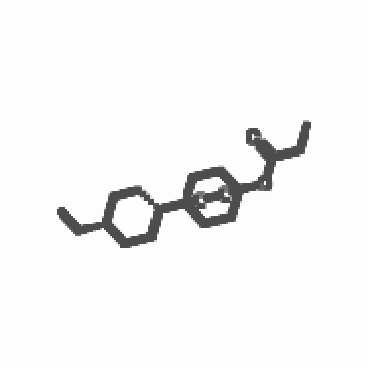 CCC(=O)OC12CCC([C@H]3CC[C@H](CC)CC3)(CC1)CC2